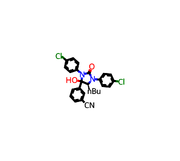 CCCC[C@@H]1N(c2ccc(Cl)cc2)C(=O)N(c2ccc(Cl)cc2)C1(O)c1cccc(C#N)c1